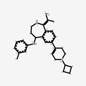 C/C(N)=C1/NCCC(Nc2cccc(C)c2)c2cc(C3=CCN(C4CCC4)CC3)ccc21